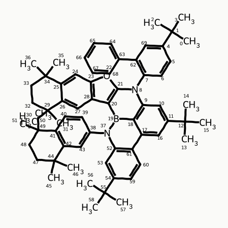 CC(C)(C)c1ccc(N2c3cc(C(C)(C)C)cc4c3B(c3c2oc2cc5c(cc32)C(C)(C)CCC5(C)C)N(c2ccc3c(c2)C(C)(C)CCC3(C)C)c2cc(C(C)(C)C)ccc2-4)c(-c2ccccc2)c1